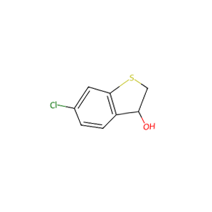 OC1CSc2cc(Cl)ccc21